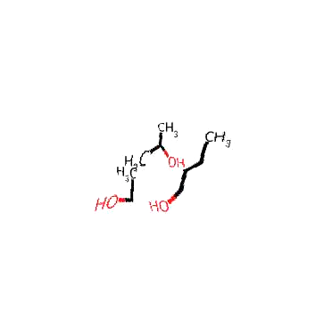 CC(C)O.CCCCO.CCO